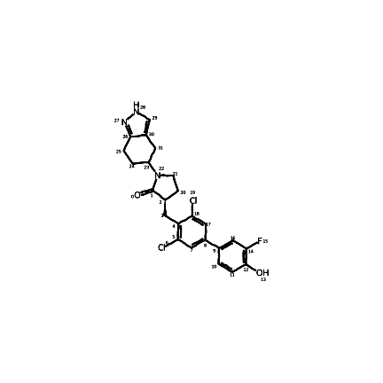 O=C1[C@H](Cc2c(Cl)cc(-c3ccc(O)c(F)c3)cc2Cl)CCN1C1CCc2n[nH]cc2C1